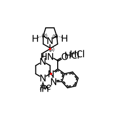 CC(=O)N1CCN(CCN2[C@@H]3CC[C@H]2C[C@H](NC(=O)c2nn(C(C)C)c4ccccc24)C3)CC1.Cl.Cl